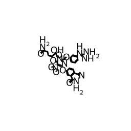 N#Cc1ccc(Oc2nc(Oc3cccc(NC(=N)N)c3)nc(OC(CCC(N)=O)C(=O)O)c2[N+](=O)[O-])cc1C(N)=O